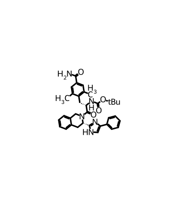 Cc1cc(C(N)=O)cc(C)c1C[C@H](NC(=O)OC(C)(C)C)C(=O)N1Cc2ccccc2C[C@H]1c1nc(-c2ccccc2)c[nH]1